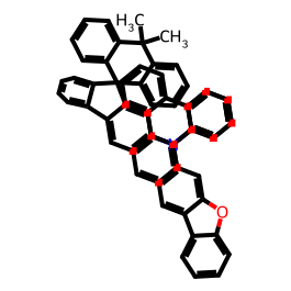 CC1(C)c2ccccc2C2(c3ccccc3-c3ccc(N(c4ccc5c(c4)oc4ccccc45)c4ccccc4-c4ccccc4-c4ccccc4-c4ccccc4)cc32)c2ccccc21